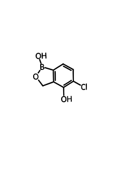 OB1OCc2c1ccc(Cl)c2O